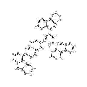 C1=Cc2cc(-c3nc(-c4ccc5cc(-c6cccc7oc8ccccc8c67)ccc5c4)nc(-c4cc5ccccc5c5ccccc45)n3)c3ccccc3c2CC1